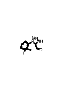 Cc1c(F)cccc1N1N=NNC1C=O